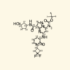 CN(C(=O)OC(C)(C)C)c1cc(Nc2cccn(C3CC(F)(F)C3)c2=O)nc2c(C(=O)NC3CC[C@@H](O)C3)cnn12